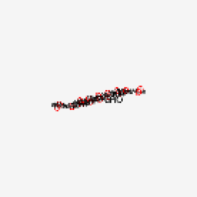 C=CC(=O)OCCCCCCOc1ccc(OC(=O)[C@H]2CC[C@H](OC(=O)c3ccc(OC(=O)c4ccc(OC(=O)[C@H]5CC[C@H](OC(=O)c6ccc(OCCCCCCOC(=O)C=C)cc6)CC5)cc4)cc3C=O)CC2)cc1